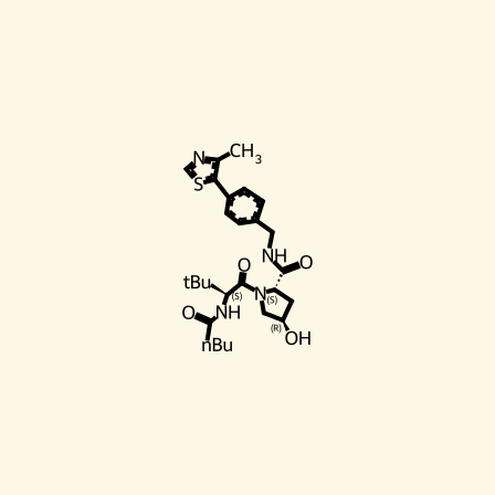 CCCCC(=O)N[C@H](C(=O)N1C[C@H](O)C[C@H]1C(=O)NCc1ccc(-c2scnc2C)cc1)C(C)(C)C